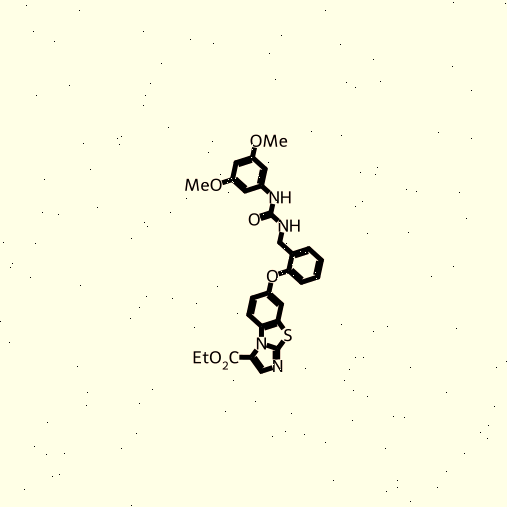 CCOC(=O)c1cnc2sc3cc(Oc4ccccc4CNC(=O)Nc4cc(OC)cc(OC)c4)ccc3n12